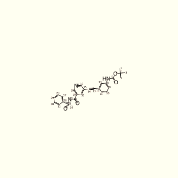 CC(C)(C)OC(=O)Nc1cccc(C#Cc2cncc(C(=O)N=[S@@](C)(=O)c3ccccc3)c2)c1